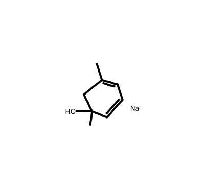 CC1=CC=CC(C)(O)C1.[Na]